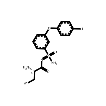 CC(C)C[C@H](N)C(=O)N=S(N)(=O)c1cccc(Oc2ccc(Cl)cc2)c1